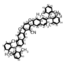 Cc1cccc(C)c1N(c1ccc2cc3c(cc2c1)oc1cc2oc4cc5cc(N(c6c(C)cccc6C)c6c(C)cccc6C)ccc5cc4c2c(C#N)c13)c1c(C)cccc1C